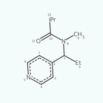 CCC(c1ccncc1)N(C)C(=O)C(C)C